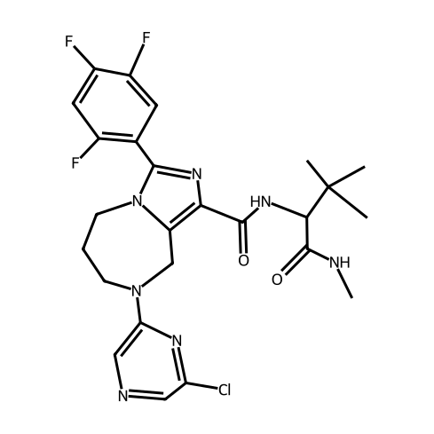 CNC(=O)C(NC(=O)c1nc(-c2cc(F)c(F)cc2F)n2c1CN(c1cncc(Cl)n1)CCC2)C(C)(C)C